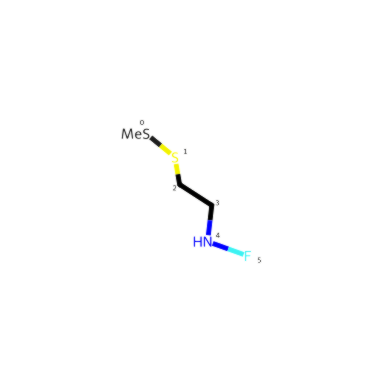 CSSCCNF